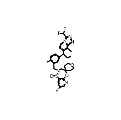 CCC(c1ccc(C)c(CN2CC3(CCOCC3)Oc3ncc(F)cc3[S+]2[O-])c1)c1ccn2c(C(F)F)nnc2c1C